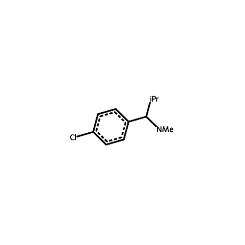 CNC(c1ccc(Cl)cc1)C(C)C